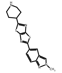 Cn1cc2cc(-c3nc4sc(C5CCNCC5)nc4s3)ccc2n1